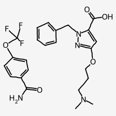 CN(C)CCCOc1cc(C(=O)O)n(Cc2ccccc2)n1.NC(=O)c1ccc(OC(F)(F)F)cc1